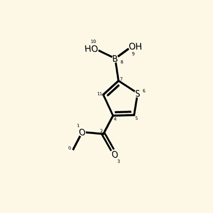 COC(=O)c1csc(B(O)O)c1